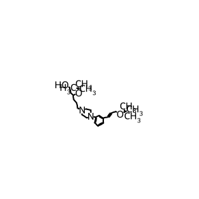 CC(C)(C)OCC#Cc1cccc(N2CCN(CCCC(CCO)OC(C)(C)C)CC2)c1